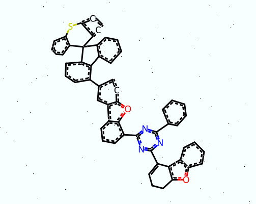 C1=C(c2nc(-c3ccccc3)nc(-c3cccc4c3oc3ccc(-c5cccc6c5-c5ccccc5C65c6ccccc6Sc6ccccc65)cc34)n2)c2c(oc3ccccc23)CC1